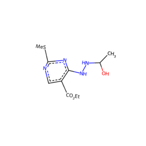 CCOC(=O)c1cnc(SC)nc1NNC(C)O